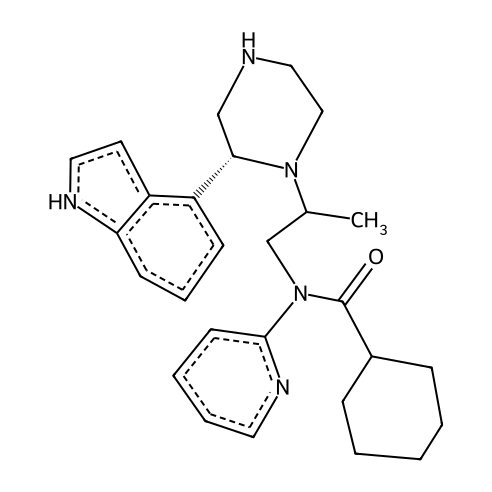 CC(CN(C(=O)C1CCCCC1)c1ccccn1)N1CCNC[C@H]1c1cccc2[nH]ccc12